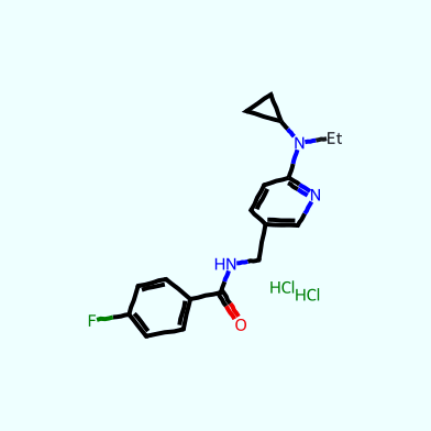 CCN(c1ccc(CNC(=O)c2ccc(F)cc2)cn1)C1CC1.Cl.Cl